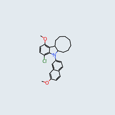 COc1ccc2ccc(N3c4c(Cl)ccc(OC)c4C4CCCCCCCC43)cc2c1